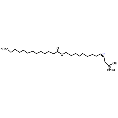 CCCCCCCCCCCCCCCCCCCCCC(=O)OCCCCCCCC/C=C\C[C@H](O)CCCCCC